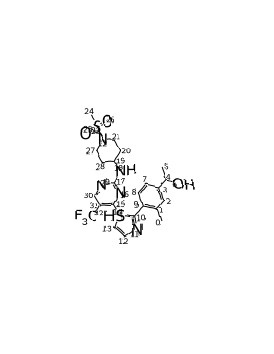 Cc1cc(C(C)O)ccc1C1=NC=C[SH]1c1nc(NC2CCN(S(C)(=O)=O)CC2)ncc1C(F)(F)F